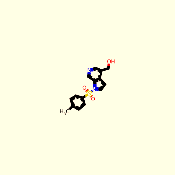 Cc1ccc(S(=O)(=O)n2ccc3c(CO)cncc32)cc1